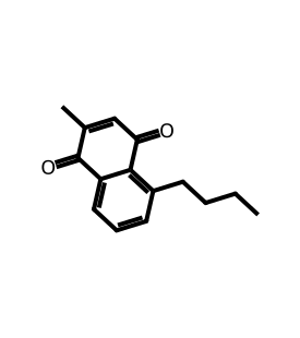 CCCCc1cccc2c1C(=O)C=C(C)C2=O